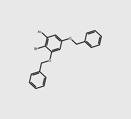 CC(=O)c1cc(OCc2ccccc2)cc(OCc2ccccc2)c1Br